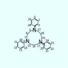 c1ccc(N2CCCN(c3ccccc3)CCCN(c3ccccc3)CCC2)cc1